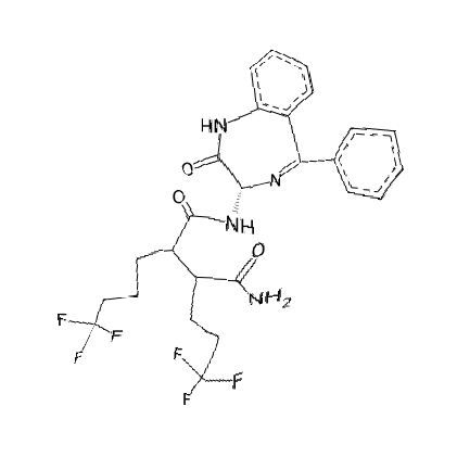 NC(=O)C(CCC(F)(F)F)C(CCCC(F)(F)F)C(=O)N[C@H]1N=C(c2ccccc2)c2ccccc2NC1=O